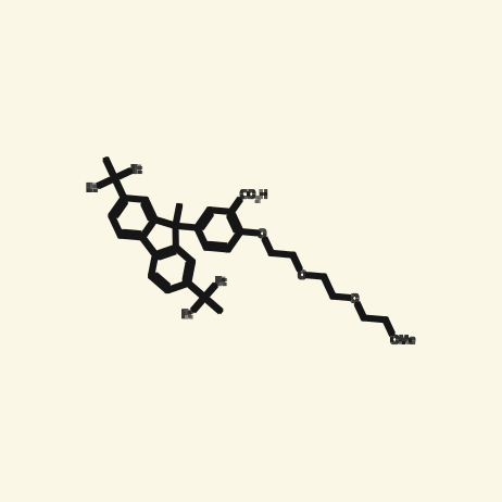 CCC(C)(CC)c1ccc2c(c1)C(C)(c1ccc(OCCOCCOCCOC)c(C(=O)O)c1)c1cc(C(C)(CC)CC)ccc1-2